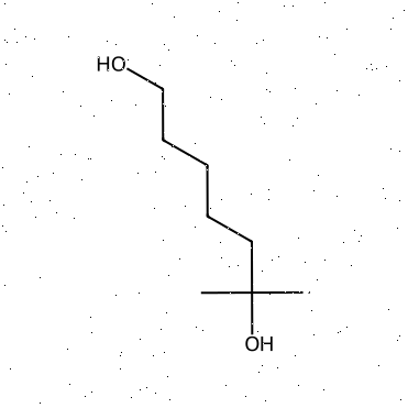 [CH2]C(C)(O)CCCCCO